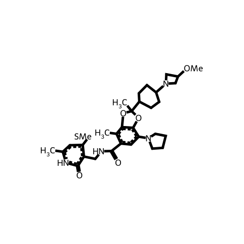 COC1CN(C2CCC(C3(C)Oc4c(N5CCCC5)cc(C(=O)NCc5c(SC)cc(C)[nH]c5=O)c(C)c4O3)CC2)C1